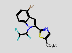 CCOC(=O)c1cnc(-c2cc3c(Br)cccc3n2C(F)C(F)F)s1